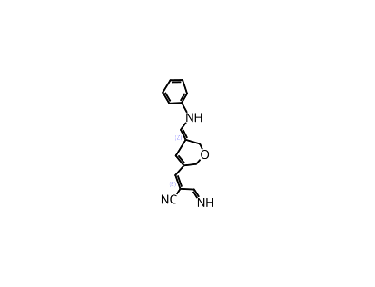 N#C/C(C=N)=C/C1=CC(=C/Nc2ccccc2)/COC1